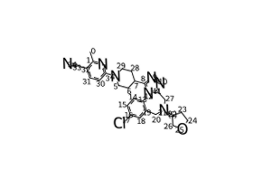 Cc1nc(N2CCC(c3nnc4n3-c3ccc(Cl)cc3CN([C@H]3CCOC3)C4)CC2)ccc1C#N